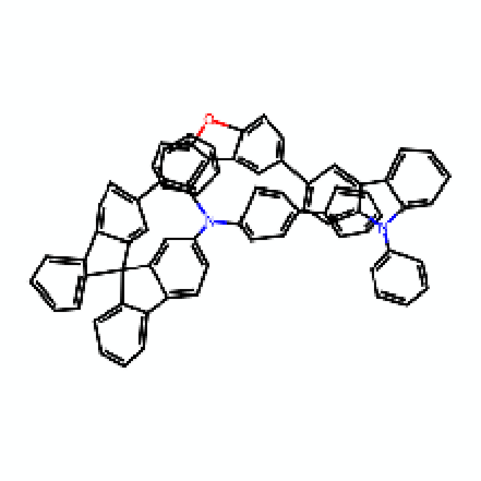 c1ccc(-c2ccc(N(c3ccc4c(c3)C3(c5ccccc5-c5ccc(-c6ccccc6)cc53)c3ccccc3-4)c3cccc4oc5ccc(-c6ccc7c(c6)c6ccccc6n7-c6ccccc6)cc5c34)cc2)cc1